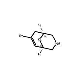 CC(C)C1=C[C@@H]2CNC[C@H](C1)O2